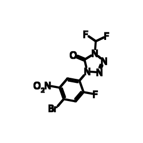 O=c1n(-c2cc([N+](=O)[O-])c(Br)cc2F)nnn1C(F)F